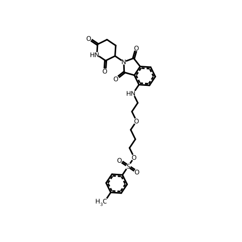 Cc1ccc(S(=O)(=O)OCCCOCCNc2cccc3c2C(=O)N(C2CCC(=O)NC2=O)C3=O)cc1